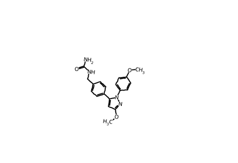 COc1ccc(-n2nc(OC)cc2-c2ccc(CNC(N)=O)cc2)cc1